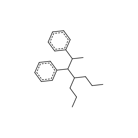 CCCC(CCC)C(c1ccccc1)C(C)c1ccccc1